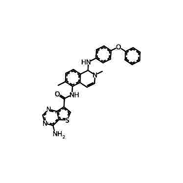 Cc1ccc2c(c1NC(=O)c1csc3c(N)ncnc13)C=CN(C)C2Nc1ccc(Oc2ccccc2)cc1